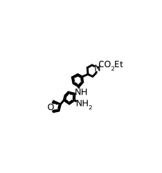 CCOC(=O)N1CCC(c2cccc(Nc3ccc(-c4ccoc4)cc3N)c2)CC1